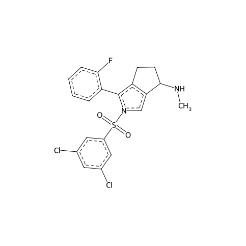 CNC1CCc2c1cn(S(=O)(=O)c1cc(Cl)cc(Cl)c1)c2-c1ccccc1F